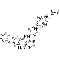 CC(C)(CN1C[C@H]2CC(N3CCC(n4nc(-c5ccc(Oc6ccccc6)cc5)c5c(N)ncnc54)CC3)C[C@H]2C1)C(=O)O